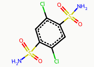 NS(=O)(=O)c1cc(Cl)c(S(N)(=O)=O)cc1Cl